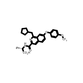 CC(C)[C@H](NC(=O)c1cc2ccc(Oc3ccc(OC(F)(F)F)cc3)cc2c(CC2CCCC2)n1)C(=O)O